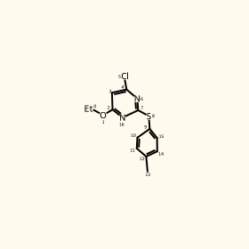 CCOc1cc(Cl)nc(Sc2ccc(C)cc2)n1